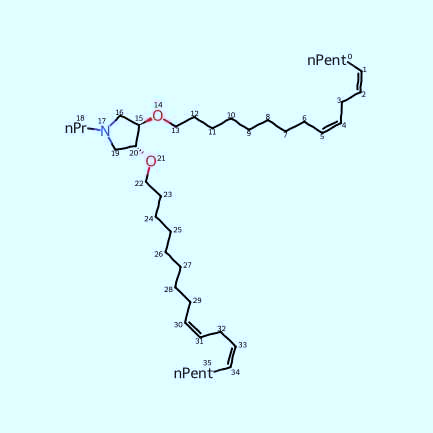 CCCCC/C=C\C/C=C\CCCCCCCCO[C@@H]1CN(CCC)C[C@H]1OCCCCCCCC/C=C\C/C=C\CCCCC